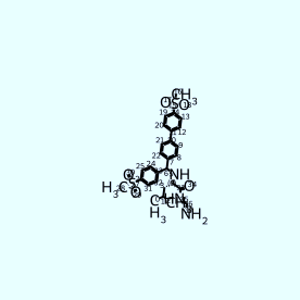 CC(C)C[C@H](NC(c1ccc(-c2ccc(S(C)(=O)=O)cc2)cc1)c1ccc(S(C)(=O)=O)cc1)C(=O)NCN